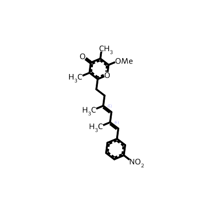 COc1oc(CC/C(C)=C/C(C)=C/c2cccc([N+](=O)[O-])c2)c(C)c(=O)c1C